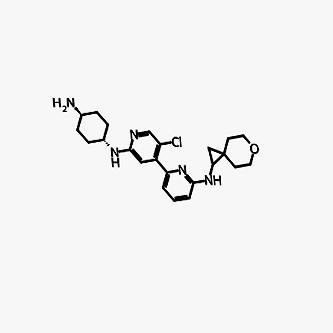 N[C@H]1CC[C@H](Nc2cc(-c3cccc(NC4CC45CCOCC5)n3)c(Cl)cn2)CC1